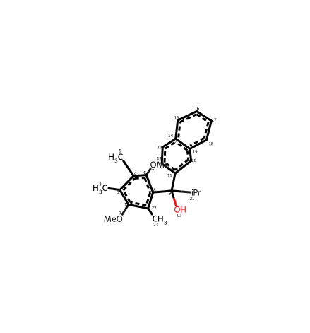 COc1c(C)c(C)c(OC)c(C(O)(c2ccc3ccccc3c2)C(C)C)c1C